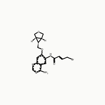 Nc1ncnc2cc(OC[C@H]3[C@@H]4COC[C@@H]43)c(NC(=O)/C=C/CBr)cc12